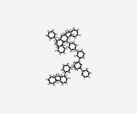 c1ccc(-c2cc(-c3cccc(-c4ccc(-c5c6c(cc7c(-c8ccccc8)nc8ccccc8c57)oc5ccccc56)cc4)c3)nc(-c3cccc(-c4cccc5c4oc4ccccc45)c3)n2)cc1